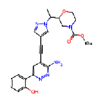 CC(C1CN(C(=O)OC(C)(C)C)CCO1)n1cc(C#Cc2cc(-c3ccccc3O)nnc2N)cn1